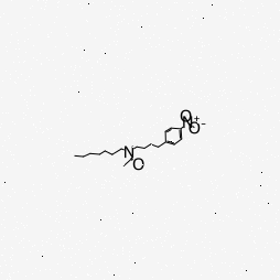 CCCCCCCN(CCCCc1ccc([N+](=O)[O-])cc1)C(C)=O